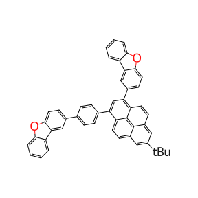 CC(C)(C)c1cc2ccc3c(-c4ccc(-c5ccc6oc7ccccc7c6c5)cc4)cc(-c4ccc5oc6ccccc6c5c4)c4ccc(c1)c2c34